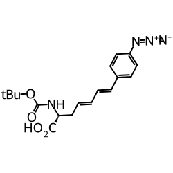 CC(C)(C)OC(=O)N[C@@H](CC=CC=Cc1ccc(N=[N+]=[N-])cc1)C(=O)O